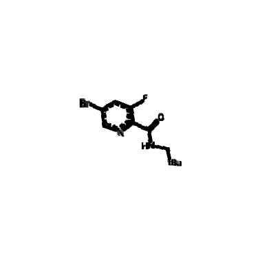 CC(C)(C)CNC(=O)c1ncc(Br)cc1F